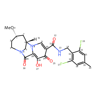 CO[C@H]1CCN2C[C@H](C1)n1cc(C(=O)NCc3c(F)cc(C)cc3F)c(=O)c(O)c1C2=O